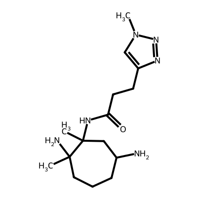 Cn1cc(CCC(=O)NC2(C)CC(N)CCCC2(C)N)nn1